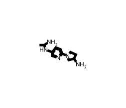 CC(N)Nc1ccc(N2CCC(N)C2)nc1